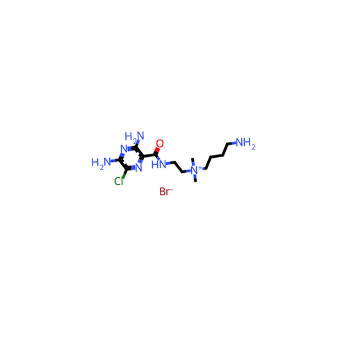 C[N+](C)(CCCCN)CCNC(=O)c1nc(Cl)c(N)nc1N.[Br-]